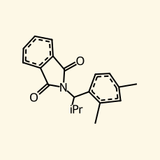 Cc1ccc(C(C(C)C)N2C(=O)c3ccccc3C2=O)c(C)c1